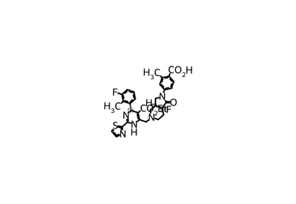 CCOC(=O)C1=C(CN2CC[C@]3(F)C(=O)N(c4ccc(C(=O)O)c(C)c4)C[C@@H]3C2)NC(c2nccs2)=N[C@H]1c1cccc(F)c1C